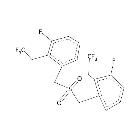 O=S(=O)(Cc1cccc(F)c1CC(F)(F)F)Cc1cccc(F)c1CC(F)(F)F